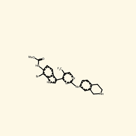 COC(=O)Nc1ccc2c(-c3nc(Nc4ccc5c(c4)CNCC5)ncc3C(F)(F)F)c[nH]c2c1Br